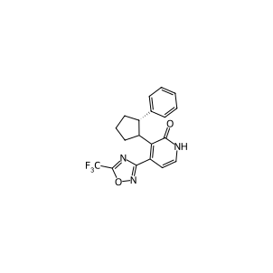 O=c1[nH]ccc(-c2noc(C(F)(F)F)n2)c1C1CCC[C@@H]1c1ccccc1